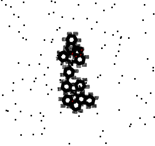 c1ccc(-c2ccccc2N(c2ccc(-c3cccc([Si](c4ccccc4)(c4ccccc4)c4cc5ccccc5c5ccccc45)c3)cc2)c2cccc3oc4c5ccccc5ccc4c23)cc1